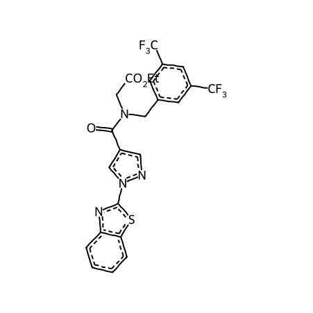 CCOC(=O)CN(Cc1cc(C(F)(F)F)cc(C(F)(F)F)c1)C(=O)c1cnn(-c2nc3ccccc3s2)c1